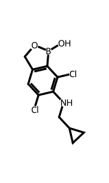 OB1OCc2cc(Cl)c(NCC3CC3)c(Cl)c21